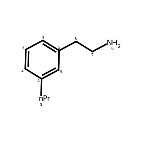 CCCc1cccc(CCN)c1